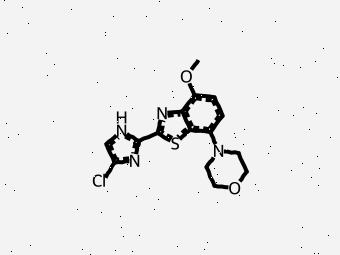 COc1ccc(N2CCOCC2)c2sc(-c3nc(Cl)c[nH]3)nc12